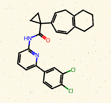 O=C(Nc1cccc(-c2ccc(Cl)c(Cl)c2)n1)C1(C2=CCC3=C(C=C2)CCCC3)CC1